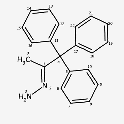 CC(=NN)C(c1ccccc1)(c1ccccc1)c1ccccc1